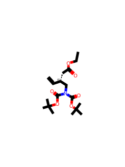 C=C[C@H](CC(=O)OCC)CN(C(=O)OC(C)(C)C)C(=O)OC(C)(C)C